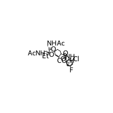 CC[C@@]1(CNC(C)=O)OC2(C=C(C(=O)O)C(S(=O)(=O)Nc3ccc(F)cc3Cl)CC2)O[C@H]1CNC(C)=O